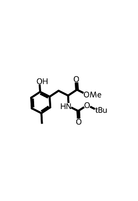 COC(=O)C(Cc1cc(C)ccc1O)NC(=O)OC(C)(C)C